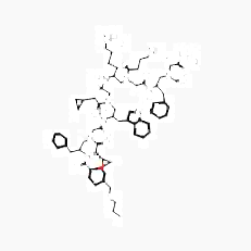 CCCSCc1ccc(C(=O)NC(Cc2ccccc2)CN(CC(=O)NC(Cc2c[nH]c3ccccc23)CN(CC(=O)NC(CCCCN)CN(CC(=O)NC(Cc2ccccc2)CN(C=O)CC(N)=O)C(=O)CCCN)C(=O)CC2CC2)C(=O)CC2CC2)cc1